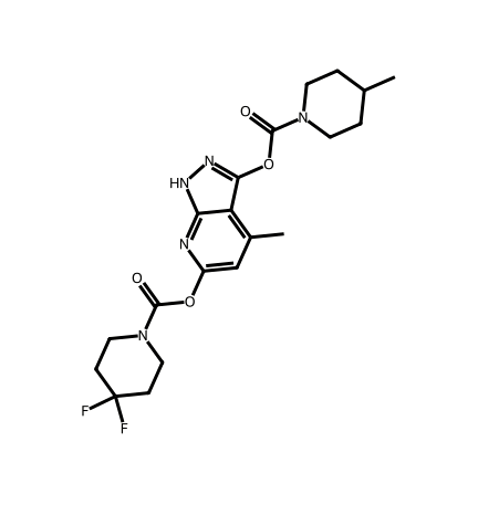 Cc1cc(OC(=O)N2CCC(F)(F)CC2)nc2[nH]nc(OC(=O)N3CCC(C)CC3)c12